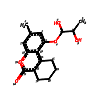 Cc1cc(OC(O)C(C)O)c2c3c(c(=O)oc2c1)CCCC3